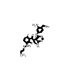 CCCSNc1ccc(F)c(C(=O)c2c[nH]c3ncnc(Nc4ccc(C=N)c(N)c4)c23)c1F